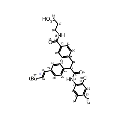 Cc1cc(NC(=O)C(Cc2ccc(C(=O)NCCS(=O)(=O)O)cc2)c2ccc(/C=C/C(C)(C)C)cc2)c(Cl)cc1F